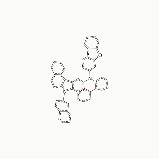 c1ccc(-c2ccccc2N(c2ccc3c(c2)oc2ccccc23)c2ccc3c(c2)c2c4ccccc4ccc2n3-c2ccc3ccccc3c2)cc1